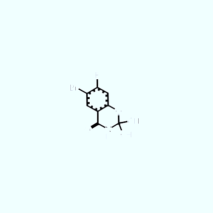 CC1(C)NC(=O)c2cc(Br)c(F)cc2O1